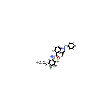 Cc1cn(Cc2ccccc2)c2cccc(C(=O)Nc3cc(CC(=O)O)c(Cl)c(Cl)c3F)c12